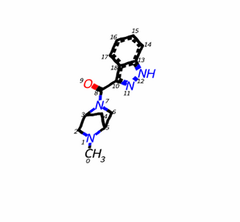 CN1CC2CC1CN2C(=O)c1n[nH]c2ccccc12